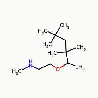 CNCCOC(C)C(C)(C)CC(C)(C)C